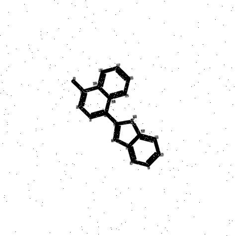 Cc1ccc(-c2cc3ccccc3s2)c2ccccc12